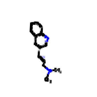 CN(C)C/C=C/c1cnc2ccccc2c1